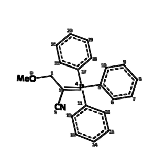 COCC(C#N)=P(c1ccccc1)(c1ccccc1)c1ccccc1